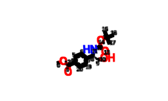 COC(=O)c1ccc([C@@H](CO)NC(=O)OC(C)(C)C)cc1